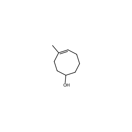 CC1=CCCCC(O)CC1